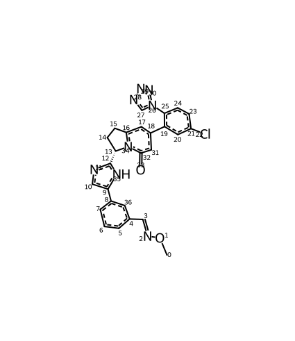 CO/N=C/c1cccc(-c2cnc([C@@H]3CCc4cc(-c5cc(Cl)ccc5-n5cnnn5)cc(=O)n43)[nH]2)c1